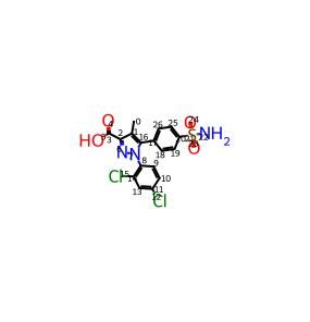 Cc1c(C(=O)O)nn(-c2ccc(Cl)cc2Cl)c1-c1ccc(S(N)(=O)=O)cc1